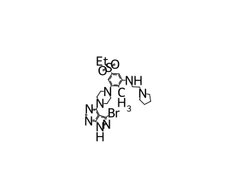 CCS(=O)(=O)c1cc(NCCN2CCCC2)c(C)c(N2CCN(c3ncnc4[nH]nc(Br)c34)CC2)c1